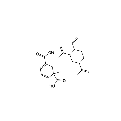 C=CC1CCC(C(=C)C)CC1C(=C)C.CC1(C(=O)O)C=CC=C(C(=O)O)C1